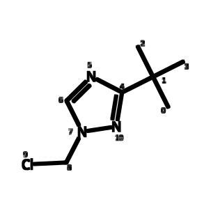 CC(C)(C)c1ncn(CCl)n1